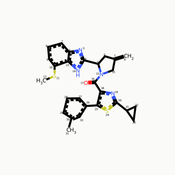 C=C1CC(c2nc3cccc(SC)c3[nH]2)N(C(=O)c2nc(C3CC3)sc2-c2cccc(C)c2)C1